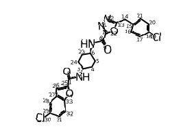 O=C(N[C@H]1CC[C@H](NC(=O)c2nnc(Cc3ccc(Cl)cc3)o2)CC1)c1cc2cc(Cl)ccc2o1